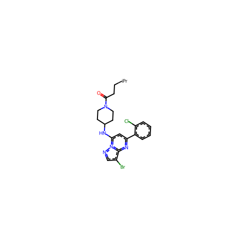 CC(C)CCC(=O)N1CCC(Nc2cc(-c3ccccc3Cl)nc3c(Br)cnn23)CC1